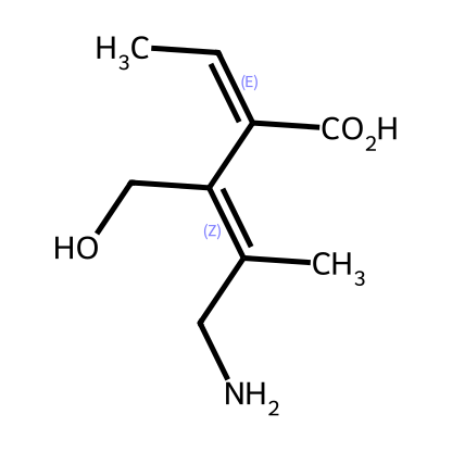 C/C=C(C(=O)O)\C(CO)=C(/C)CN